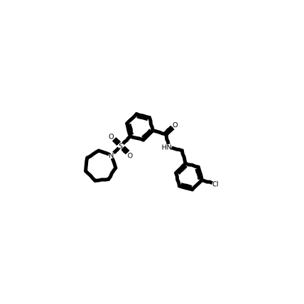 O=C(NCc1cccc(Cl)c1)c1cccc(S(=O)(=O)N2CCCCCC2)c1